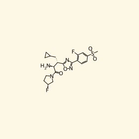 CS(=O)(=O)c1ccc(-c2noc([C@@H](CC3CC3)[C@H](N)C(=O)N3CC[C@H](F)C3)n2)c(F)c1